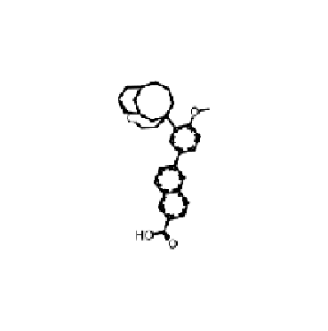 COc1ccc(-c2ccc3cc(C(=O)O)ccc3c2)cc1C12CCCC3CC(CCC1)CC(C3)C2